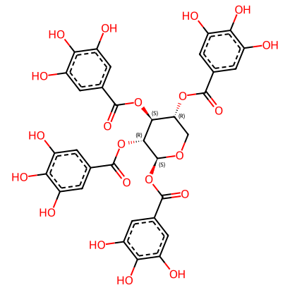 O=C(O[C@@H]1OC[C@@H](OC(=O)c2cc(O)c(O)c(O)c2)[C@H](OC(=O)c2cc(O)c(O)c(O)c2)[C@H]1OC(=O)c1cc(O)c(O)c(O)c1)c1cc(O)c(O)c(O)c1